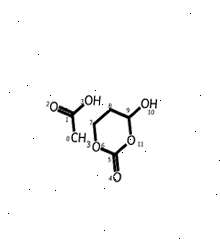 CC(=O)O.O=C1OCCC(O)O1